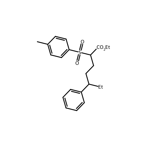 CCOC(=O)C(CCC(CC)c1ccccc1)S(=O)(=O)c1ccc(C)cc1